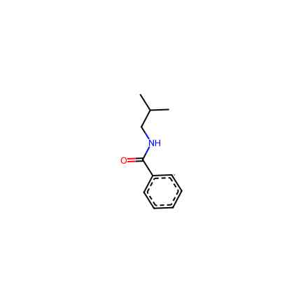 CC(C)CNC(=O)c1[c]cccc1